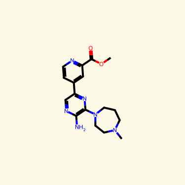 COC(=O)c1cc(-c2cnc(N)c(N3CCCN(C)CC3)n2)ccn1